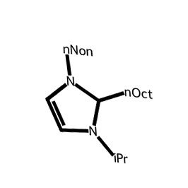 CCCCCCCCCN1C=CN(C(C)C)C1CCCCCCCC